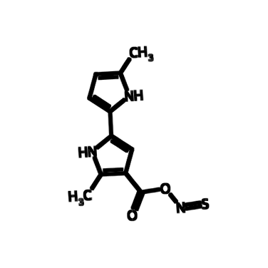 Cc1ccc(-c2cc(C(=O)ON=S)c(C)[nH]2)[nH]1